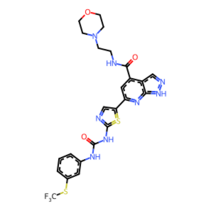 O=C(Nc1cccc(SC(F)(F)F)c1)Nc1ncc(-c2cc(C(=O)NCCN3CCOCC3)c3cn[nH]c3n2)s1